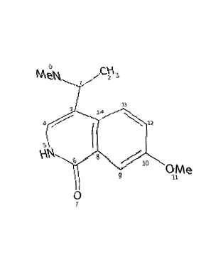 CNC(C)c1c[nH]c(=O)c2cc(OC)ccc12